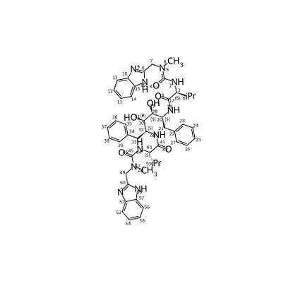 CC(C)[C@H](NC(=O)N(C)Cc1nc2ccccc2[nH]1)C(=O)N[C@@H](Cc1ccccc1)[C@H](O)[C@H](O)[C@H](Cc1ccccc1)NC(=O)[C@@H](NC(=O)N(C)Cc1nc2ccccc2[nH]1)C(C)C